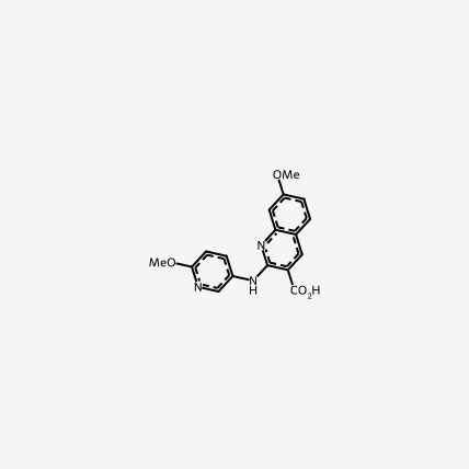 COc1ccc2cc(C(=O)O)c(Nc3ccc(OC)nc3)nc2c1